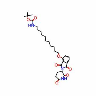 CC(C)(C)OC(=O)NCCCCCCCCCCCOc1cccc2c1C(=O)N(C1CCC(=O)NC1=O)C2=O